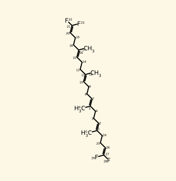 C/C(=C\CC/C(C)=C/CC/C=C(\C)CC/C=C(\C)CCC=C(F)F)CCC=C(F)F